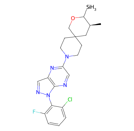 C[C@H]1CC2(CCN(c3cnc4c(cnn4-c4c(F)cccc4Cl)n3)CC2)COC1[SiH3]